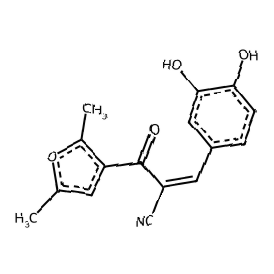 Cc1cc(C(=O)C(C#N)=Cc2ccc(O)c(O)c2)c(C)o1